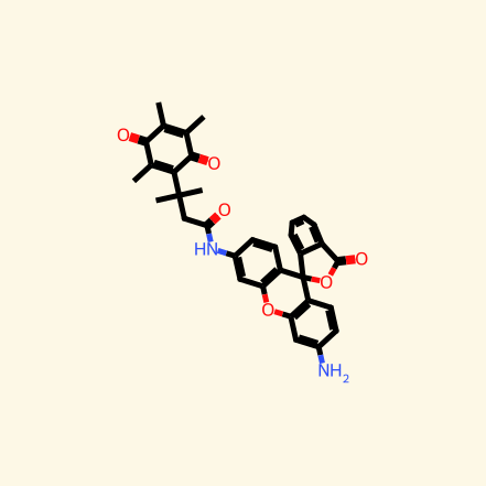 CC1=C(C)C(=O)C(C(C)(C)CC(=O)Nc2ccc3c(c2)Oc2cc(N)ccc2C32OC(=O)c3ccccc32)=C(C)C1=O